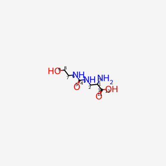 NC(CNC(=O)NCCO)C(=O)O